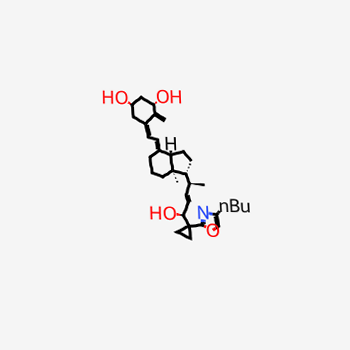 C=C1/C(=C\C=C2/CCC[C@]3(C)[C@@H]([C@@H](C)/C=C/[C@H](O)C4(c5nc(CCCC)co5)CC4)CC[C@@H]23)C[C@@H](O)C[C@@H]1O